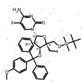 COc1ccc(C(O[C@H]2[C@H](F)[C@H](n3cc(F)c(N)nc3=O)O[C@]2(CI)CO[Si](C)(C)C(C)(C)C)(c2ccccc2)c2ccccc2)cc1